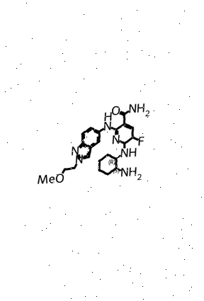 COCCn1cc2cc(NC3=NC(N[C@@H]4CCCC[C@@H]4N)C(F)C=C3C(N)=O)ccc2n1